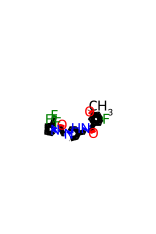 COc1cc(F)cc(C(=O)NCC2CCN(CC(=O)N3CCCC3C(F)(F)F)CC2)c1